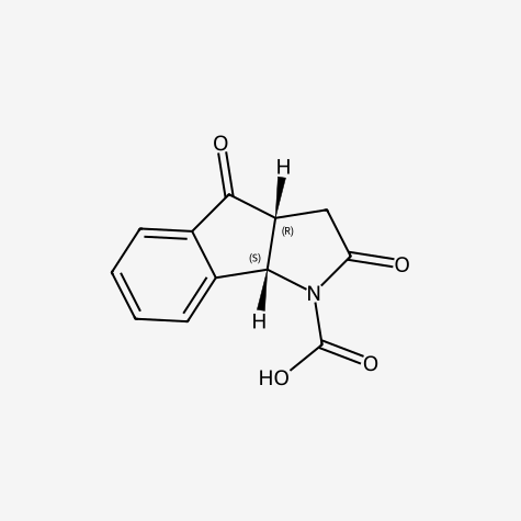 O=C1c2ccccc2[C@@H]2[C@H]1CC(=O)N2C(=O)O